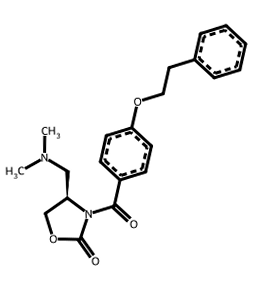 CN(C)C[C@@H]1COC(=O)N1C(=O)c1ccc(OCCc2ccccc2)cc1